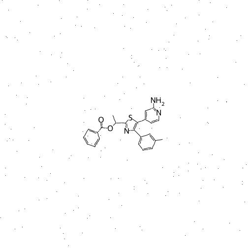 Cc1cccc(-c2nc(C(C)OC(=O)c3ccccc3)sc2-c2ccnc(N)c2)c1